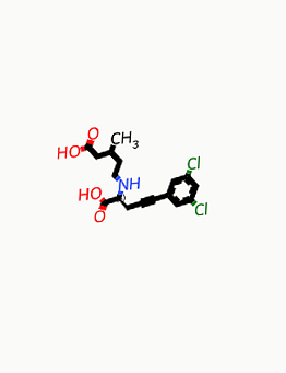 CC(CCN[C@@H](CC#Cc1cc(Cl)cc(Cl)c1)C(=O)O)CC(=O)O